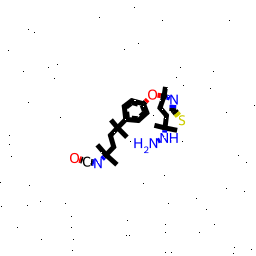 CC(C)(CCC(C)(C)c1ccc(OC(C)(CCC(C)(C)NN)N=C=S)cc1)N=C=O